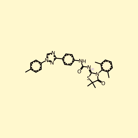 Cc1ccc(-n2cnc(-c3ccc(NC(=O)/N=C4\SC(C)(C)C(=O)N4c4c(C)cccc4C)cc3)n2)cc1